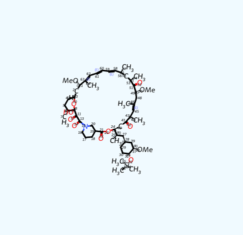 CO[C@H]1C[C@@H]2CC[C@@H](C)[C@@](O)(O2)C(=O)C(=O)N2CCCC(C2)C(=O)O[C@H]([C@H](C)C[C@@H]2CC[C@@H](O[Si](C)(C)C)[C@H](OC)C2)CC(=O)[C@H](C)/C=C(\C)C[C@@H](OC)C(=O)[C@H](C)C[C@H](C)/C=C/C=C/C=C/1C